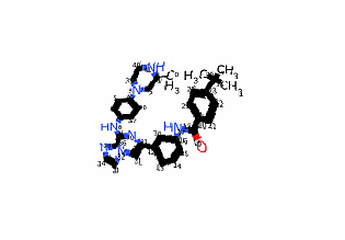 C[C@@H]1CN(c2ccc(Nc3nc(-c4cccc(NC(=O)c5ccc(C(C)(C)C)cc5)c4)cn4ccnc34)cc2)CCN1